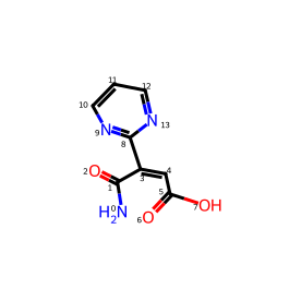 NC(=O)/C(=C\C(=O)O)c1ncccn1